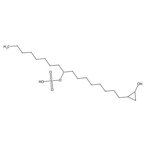 CCCCCCCCC(CCCCCCCCC1CC1O)OS(=O)(=O)O